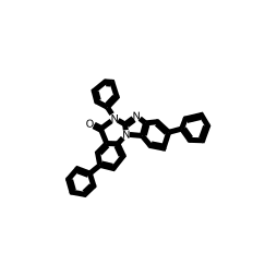 O=c1c2cc(-c3ccccc3)ccc2n2c3ccc(-c4ccccc4)cc3nc2n1-c1ccccc1